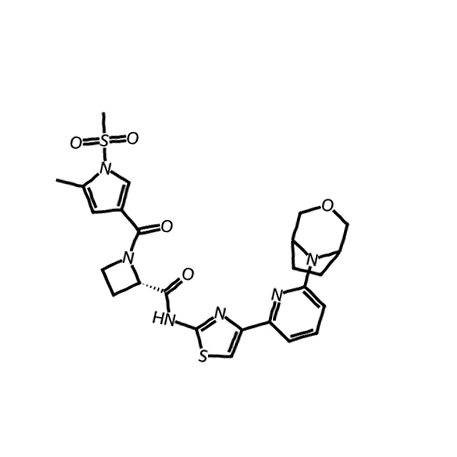 Cc1cc(C(=O)N2CC[C@H]2C(=O)Nc2nc(-c3cccc(N4C5CCC4COC5)n3)cs2)cn1S(C)(=O)=O